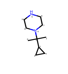 CC(C)(C1CC1)N1CCNCC1